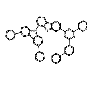 c1ccc(-c2cccc(-c3nc(-c4ccccc4)nc(-c4ccc5c(c4)oc4c(-n6c7ccc(-c8ccccc8)cc7c7cc(-c8ccccc8)ccc76)cccc45)n3)c2)cc1